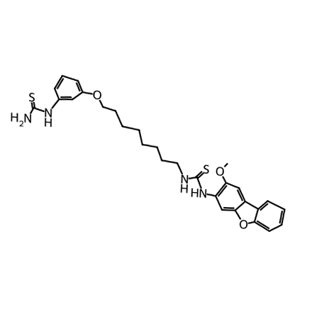 COc1cc2c(cc1NC(=S)NCCCCCCCCOc1cccc(NC(N)=S)c1)oc1ccccc12